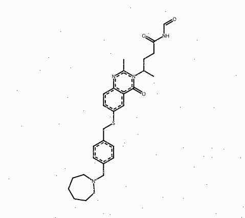 Cc1nc2ccc(SCc3ccc(CN4CCCCCC4)cc3)cc2c(=O)n1C(C)CCC(=O)NC=O